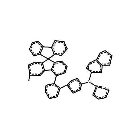 Fc1ccc2c(c1)-c1c(-c3ccccc3-c3ccc(N(c4ccccc4)c4ccc5ccccc5c4)cc3)cccc1C21c2ccccc2-c2ccccc21